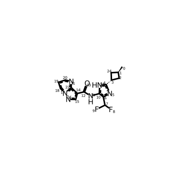 C[C@H]1C[C@H](c2nc(C(F)F)c(NC(=O)c3cnn4cccnc34)[nH]2)C1